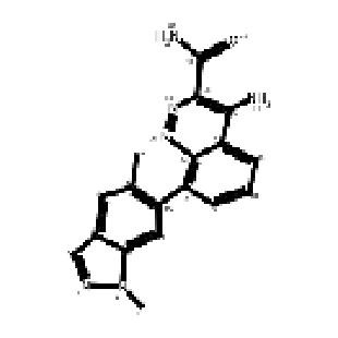 Cc1cc2cnn(C)c2cc1-c1cccc2c(N)c(C(N)=O)nnc12